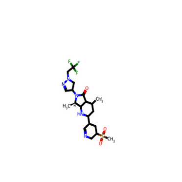 CC1CC(C2C=NCC(S(C)(=O)=O)C2)NC2C1C(=O)N(C1C=NN(CC(F)(F)F)C1)[C@@H]2C